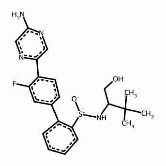 CC(C)(C)C(CO)N[S+]([O-])c1ccccc1-c1ccc(-c2cnc(N)cn2)c(F)c1